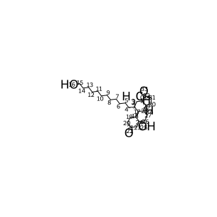 C[C@]12C[C@H](CCCCCCCCCCCCO)C3=C4CCC(=O)C[C@]4(O)CC[C@H]3[C@@H]1CCC2=O